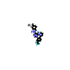 CC1CCC(CNc2ncnc(N3CCCC3c3ccc(C(F)(F)F)cc3)c2F)CC1